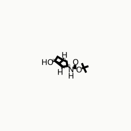 CC(C)(C)OC(=O)N[C@@H]1C[C@H]2C[C@]3(O)C2[C@H]13